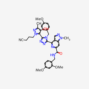 COc1ccc(Cn2c(-c3nc(C(=O)NCc4ccc(OC)cc4OC)cc4c3cnn4C)nnc2-c2c(O)c(C)nn2CCCC#N)cc1